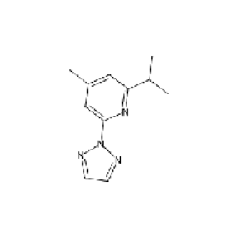 Cc1cc(C(C)C)nc(-n2nccn2)c1